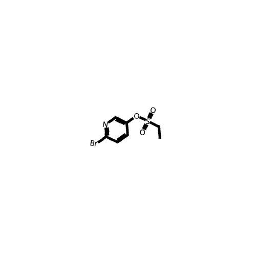 CCS(=O)(=O)Oc1ccc(Br)nc1